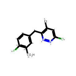 CCc1cc(Cl)nnc1Cc1ccc(F)c(C(=O)O)c1